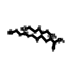 CC(=O)OCCOCCOCCO.CCCOCCC